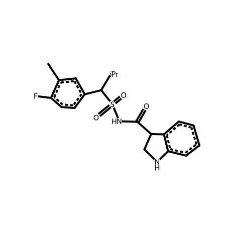 Cc1cc(C(C(C)C)S(=O)(=O)NC(=O)C2CNc3ccccc32)ccc1F